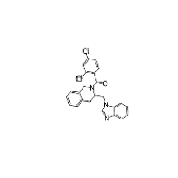 O=C(c1ccc(Cl)cc1Cl)N1Cc2ccccc2CC1Cn1cnc2ccccc21